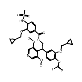 CS(=O)(=O)Nc1ccc(C(=O)OC[C@@H](c2ccc(OC(F)F)c(OCC3CC3)c2)c2c(OCl)cncc2OCl)cc1OCC1CC1